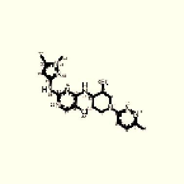 CCC1CN(c2ccc(C)nn2)CCC1Nc1nc(Nc2cc(C)n(C)n2)ncc1Cl